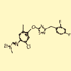 CCN(C)C=Nc1cc(C)c(Oc2nc(Cc3ccc(F)cc3F)ns2)cc1Cl